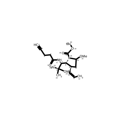 C#CCCC(=O)N[C@H]([C@H]1[C@H](/C=C\C)CC(OC)N1C(=O)OC(C)(C)C)[C@](C)(CCC)OC